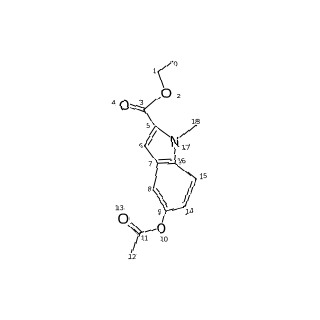 CCOC(=O)c1cc2cc(OC(C)=O)ccc2n1C